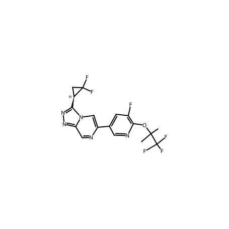 CC(C)(Oc1ncc(-c2cn3c([C@H]4CC4(F)F)nnc3cn2)cc1F)C(F)(F)F